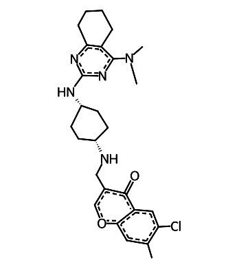 Cc1cc2occ(CN[C@H]3CC[C@@H](Nc4nc5c(c(N(C)C)n4)CCCC5)CC3)c(=O)c2cc1Cl